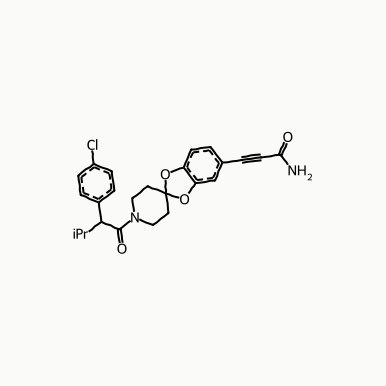 CC(C)C(C(=O)N1CCC2(CC1)Oc1ccc(C#CC(N)=O)cc1O2)c1ccc(Cl)cc1